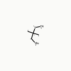 CC(C)(C)CC(C)(C)SC#N